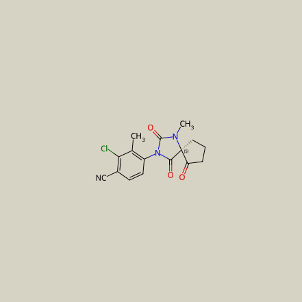 Cc1c(N2C(=O)N(C)[C@]3(CCCC3=O)C2=O)ccc(C#N)c1Cl